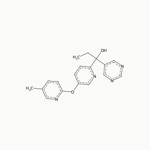 CCC(O)(c1cncnc1)c1ccc(Oc2ccc(C)cn2)cn1